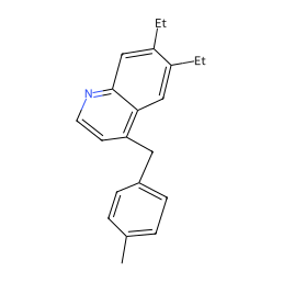 CCc1cc2nccc(Cc3ccc(C)cc3)c2cc1CC